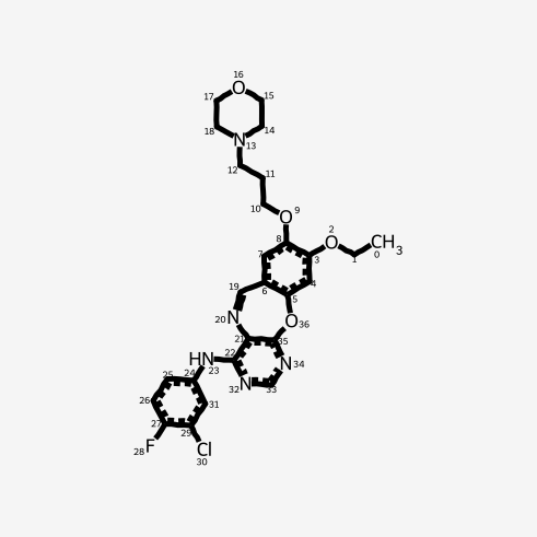 CCOc1cc2c(cc1OCCCN1CCOCC1)C=Nc1c(Nc3ccc(F)c(Cl)c3)ncnc1O2